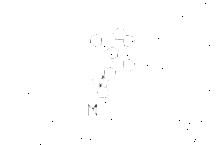 N#Cc1ccc2c(c1)oc1cc(-c3cc(-c4ccccc4)c4c(c3-c3ccccc3)-c3cccc5cccc-4c35)ccc12